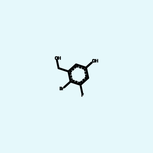 OCc1cc(O)cc(F)c1Br